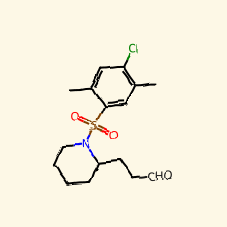 Cc1cc(S(=O)(=O)N2CCCCC2CCC=O)c(C)cc1Cl